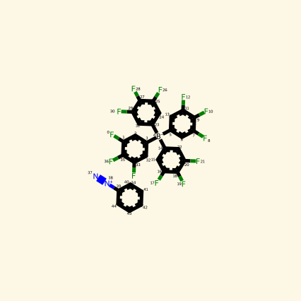 Fc1cc([B-](c2cc(F)c(F)c(F)c2)(c2cc(F)c(F)c(F)c2)c2cc(F)c(F)c(F)c2)cc(F)c1F.N#[N+]c1ccccc1